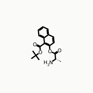 C[C@H](N)C(=O)Oc1ccc2ccccc2c1C(=O)OC(C)(C)C